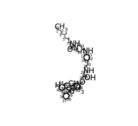 CCCCCCCCNC(=O)N1CCC(Nc2ccc(CCNC[C@H](O)COc3ccc(O[Si](c4ccccc4)(c4ccccc4)C(C)(C)C)cc3)cc2)CC1